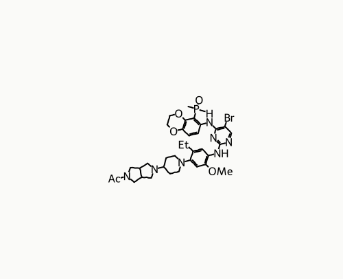 CCc1cc(Nc2ncc(Br)c(Nc3ccc4c(c3P(C)(C)=O)OCCO4)n2)c(OC)cc1N1CCC(N2CC3CN(C(C)=O)CC3C2)CC1